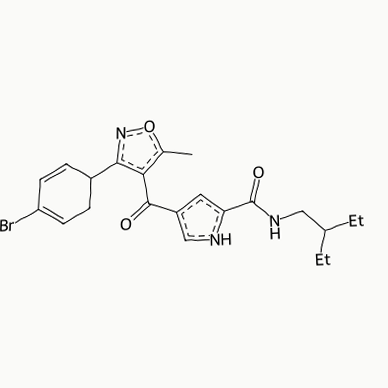 CCC(CC)CNC(=O)c1cc(C(=O)c2c(C3C=CC(Br)=CC3)noc2C)c[nH]1